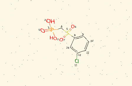 O=P(O)(O)CS(=O)(=O)c1cccc(Cl)c1